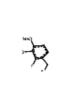 COc1ccc(CBr)c(F)c1Br